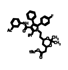 CC(=O)c1cccc(NC(=O)c2c(-c3ccccc3)c(-c3ccc(F)cc3)n(CCC3CC(CC(=O)OC(C)(C)C)OC(C)(C)O3)c2C(C)C)c1